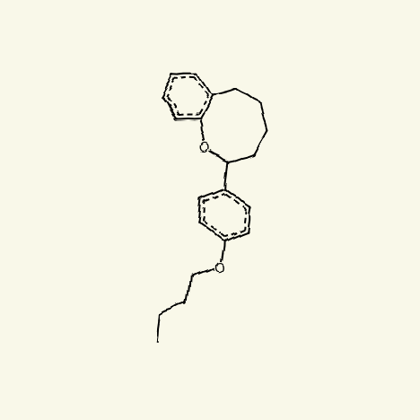 CCCCOc1ccc(C2CCCCc3ccccc3O2)cc1